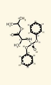 CC(C)OC(=O)[C@H](C)N[P@@](=O)(Oc1ccccc1)Oc1cccnc1